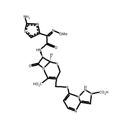 CO/N=C(\C(=O)N[C@@H]1C(=O)N2C(C(=O)O)=C(CSC3=CC=NC4=CN(C(=O)O)NN43)CS[C@H]12)c1csc(N)n1